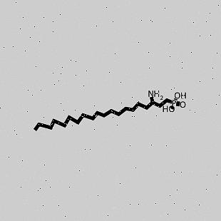 CCCCCCCCCCCCCCCCCC(N)CCP(=O)(O)O